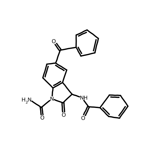 NC(=O)N1C(=O)C(NC(=O)c2ccccc2)c2cc(C(=O)c3ccccc3)ccc21